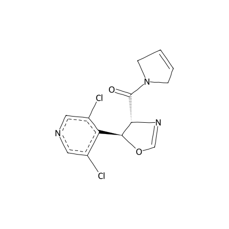 O=C([C@@H]1N=CO[C@H]1c1c(Cl)cncc1Cl)N1CC=CC1